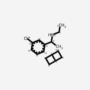 C1CC2CCC12.CCNC(C)c1cccc(Cl)c1